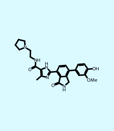 COc1cc(-c2ccc(-c3nc(C)c(C(=O)NCCN4CCCC4)[nH]3)c3c2CNC3=O)ccc1O